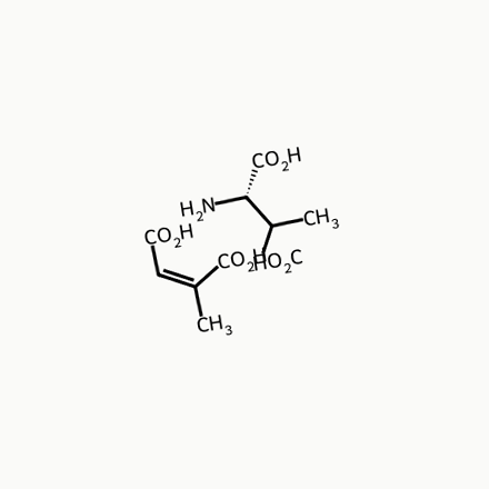 C/C(=C/C(=O)O)C(=O)O.CC(C(=O)O)[C@H](N)C(=O)O